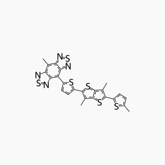 Cc1ccc(-c2sc3c(C)c(-c4ccc(-c5c6c(c(C)c7nsnc57)N=S=N6)s4)sc3c2C)s1